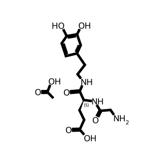 CC(=O)O.NCC(=O)N[C@@H](CCC(=O)O)C(=O)NCCc1ccc(O)c(O)c1